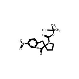 CC(C)(C)OC(=O)N1CCCC1(Cc1ccc([N+](=O)[O-])cc1)C(=O)O